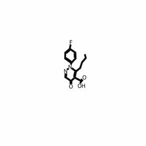 CCCCc1c(C(=O)O)c(=O)cnn1-c1ccc(F)cc1